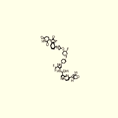 Cn1c(=O)n(C2CCC(=O)NC2=O)c2cccc(N3CC(O[C@H]4CCN(C[C@H]5CC[C@H](n6cc(NC(O)c7cnn8ccc(N9C[C@H]%10C[C@@H]9CO%10)nc78)c(C(F)F)n6)CC5)C[C@H]4F)C3)c21